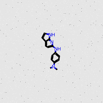 CN(C)c1ccc(Nc2ccc3cc[nH]c3n2)cc1